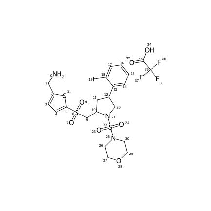 NCc1ccc(S(=O)(=O)CC2CC(c3ccccc3F)CN2S(=O)(=O)N2CCOCC2)s1.O=C(O)C(F)(F)F